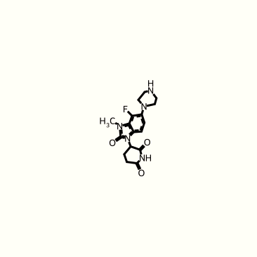 Cn1c(=O)n(C2CCC(=O)NC2=O)c2ccc(N3CCNCC3)c(F)c21